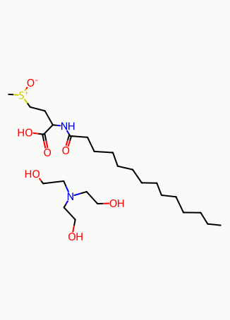 CCCCCCCCCCCCCC(=O)NC(CC[S+](C)[O-])C(=O)O.OCCN(CCO)CCO